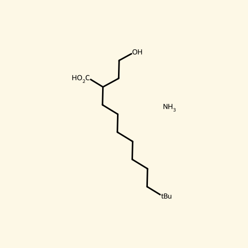 CC(C)(C)CCCCCCCC(CCO)C(=O)O.N